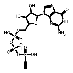 C#CP(=O)(O)OP(=O)(O)OP(=O)(O)OCC1OC(n2cnc3c(=O)[nH]c(N)nc32)C(O)C1O